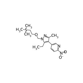 CCc1c(-c2ccc([N+](=O)[O-])nc2)c(C)nn1COCCS(C)(C)C